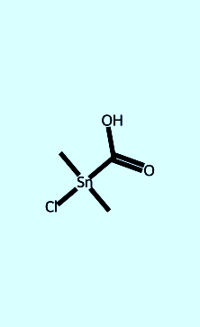 [CH3][Sn]([CH3])([Cl])[C](=O)O